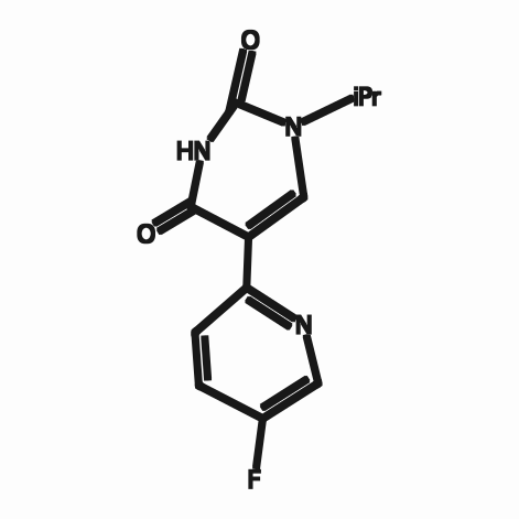 CC(C)n1cc(-c2ccc(F)cn2)c(=O)[nH]c1=O